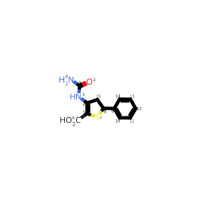 NC(=O)NC1=C(C(=O)O)SC(c2ccccc2)C1